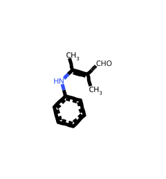 CC(C=O)=C(C)Nc1ccccc1